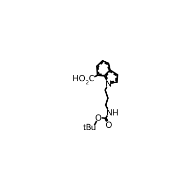 CC(C)(C)OC(=O)NCCCn1ccc2cccc(C(=O)O)c21